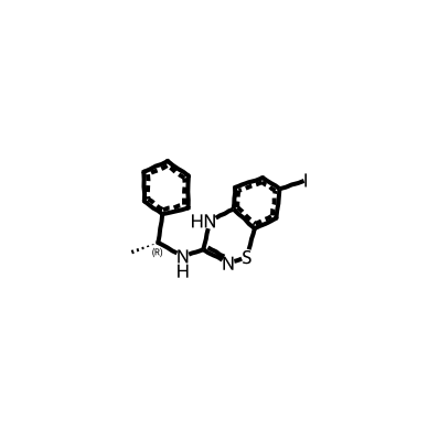 C[C@@H](NC1=NSc2cc(I)ccc2N1)c1ccccc1